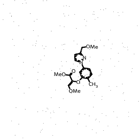 CO/C=C(\Oc1cc(-n2ccc(COC)n2)ccc1C)C(=O)OC